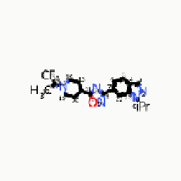 CC(C)n1ncc2ccc(-c3noc(C4CCN(C(C)C(F)(F)F)CC4)n3)cc21